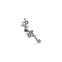 [CH2][C@@H]1CCCN1CCCOc1cc(OC)c2c(Nc3cnn(CC(=O)Nc4cccc(F)c4F)c3)ncnc2c1